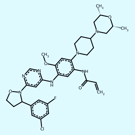 C=CC(=O)Nc1cc(Nc2cc(N3OCCC3c3cc(F)cc(Cl)c3)ncn2)c(OC)cc1N1CCC(N2C[C@@H](C)O[C@@H](C)C2)CC1